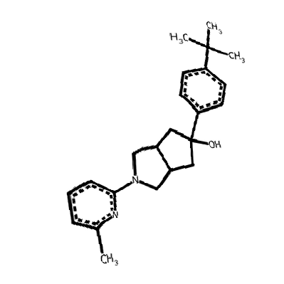 Cc1cccc(N2CC3CC(O)(c4ccc(C(C)(C)C)cc4)CC3C2)n1